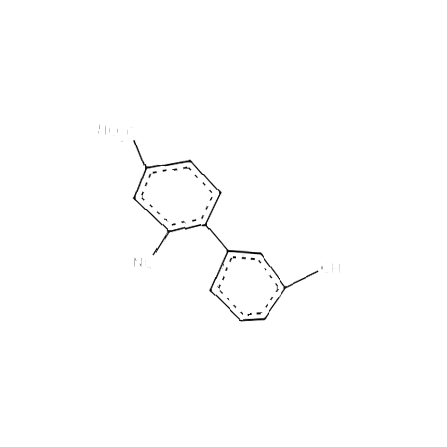 Cc1cccc(-c2ccc(C(=O)O)cc2C#N)c1